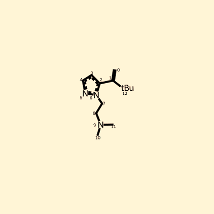 C=C(c1ccnn1CCN(C)C)C(C)(C)C